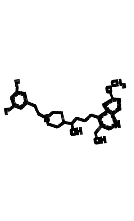 COc1ccc2ncc(CO)c(CCCC(O)C3CCN(CCc4cc(F)cc(F)c4)CC3)c2c1